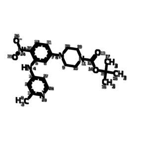 Cc1cc(Nc2cc(N3CCN(C(=O)OC(C)(C)C)CC3)ccc2[N+](=O)[O-])ccn1